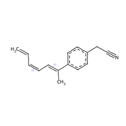 C=C/C=C\C=C(/C)c1ccc(CC#N)cc1